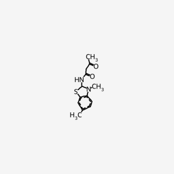 CC(=O)CC(=O)NC1Sc2cc(C)ccc2N1C